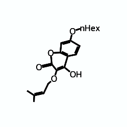 CCCCCCOc1ccc2c(O)c(OCC=C(C)C)c(=O)oc2c1